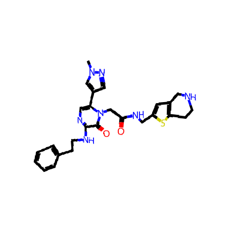 Cn1cc(-c2cnc(NCCc3ccccc3)c(=O)n2CC(=O)NCc2cc3c(s2)CCNC3)cn1